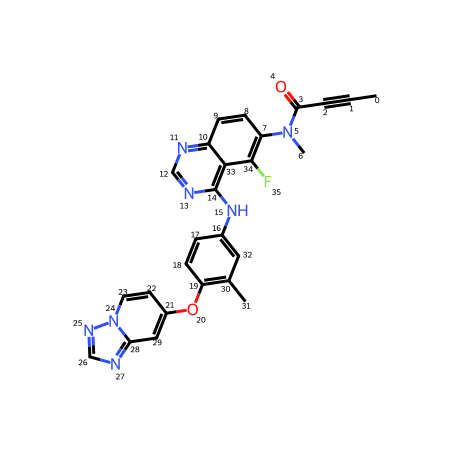 CC#CC(=O)N(C)c1ccc2ncnc(Nc3ccc(Oc4ccn5ncnc5c4)c(C)c3)c2c1F